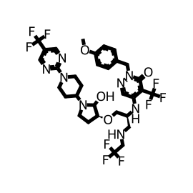 COc1ccc(Cn2ncc(N[C@@H](CNCC(F)(F)F)CO[C@@H]3CCN(C4CCN(c5ncc(C(F)(F)F)cn5)CC4)C3O)c(C(F)(F)F)c2=O)cc1